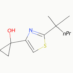 CCCC(C)(C)c1nc(C2(O)CC2)cs1